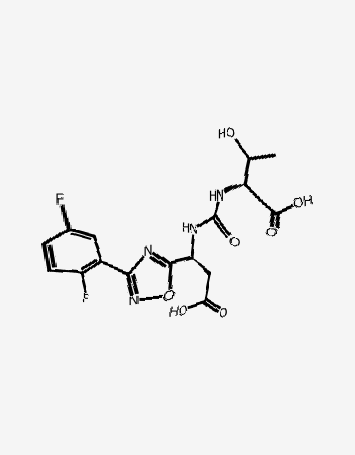 CC(O)[C@H](NC(=O)N[C@@H](CC(=O)O)c1nc(-c2cc(F)ccc2F)no1)C(=O)O